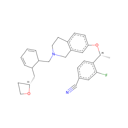 C[C@@H](Oc1ccc2c(c1)CN(CC1C=CC=CC1C[C@H]1CCO1)CC2)c1ccc(C#N)cc1F